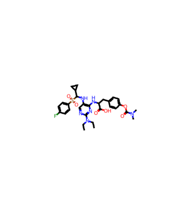 CCN(CC)c1ncc(NC(C2CC2)S(=O)(=O)c2ccc(F)cc2)c(NC(Cc2ccc(OC(=O)N(C)C)cc2)C(=O)O)n1